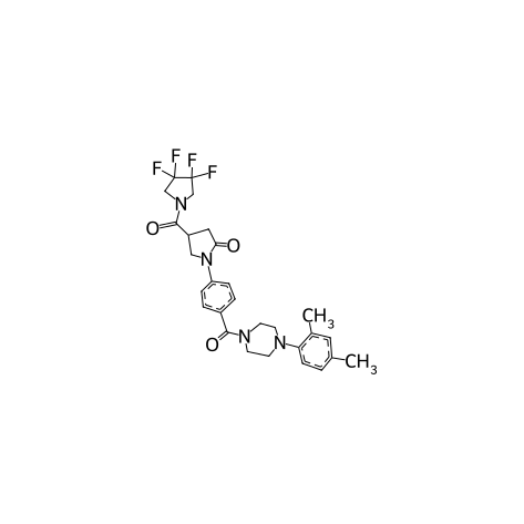 Cc1ccc(N2CCN(C(=O)c3ccc(N4CC(C(=O)N5CC(F)(F)C(F)(F)C5)CC4=O)cc3)CC2)c(C)c1